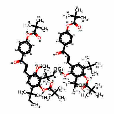 CCC(C)(C)c1cc(C=CC(=O)c2ccc(OC(=O)C(C)(C)C)cc2)c(OC)c(C(C)(C)CC)c1OC(=O)C(C)(C)C.COc1c(C=CC(=O)c2ccc(OC(=O)C(C)(C)C)cc2)cc(C(C)(C)C)c(OC(=O)C(C)(C)C)c1C(C)(C)C